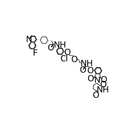 O=C(COc1cccc2c1C(=O)N(C1CCC(=O)NC1=O)C2=O)NCCOCCOc1cc(NC(=O)C[C@H]2CC[C@@H](c3ccnc4ccc(F)cc43)CC2)ccc1Cl